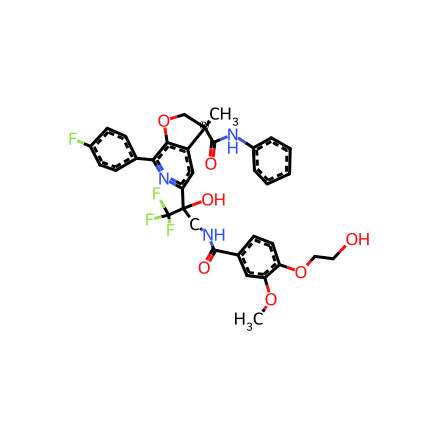 COc1cc(C(=O)NCC(O)(c2cc3c(c(-c4ccc(F)cc4)n2)OC[C@]3(C)C(=O)Nc2ccccc2)C(F)(F)F)ccc1OCCO